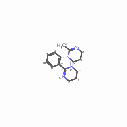 CC1=NCCCN1.c1ccc(C2=NCCCN2)cc1